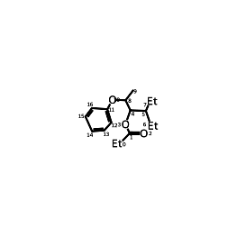 CCC(=O)OC(C(CC)CC)C(C)Oc1ccccc1